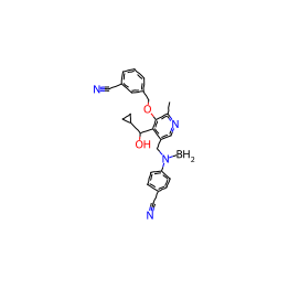 BN(Cc1cnc(C)c(OCc2cccc(C#N)c2)c1C(O)C1CC1)c1ccc(C#N)cc1